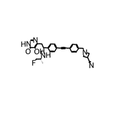 C[C@H](CF)NC[C@H](Cc1nc[nH]c(=O)c1O)c1ccc(C#Cc2ccc(CN3CC(C#N)C3)cc2)cc1